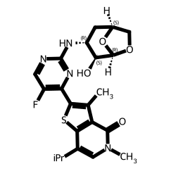 Cc1c(-c2nc(N[C@@H]3C[C@H]4CO[C@H](O4)[C@H]3O)ncc2F)sc2c(C(C)C)cn(C)c(=O)c12